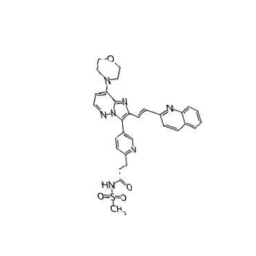 CS(=O)(=O)NC(=O)CCc1ccc(-c2c(/C=C/c3ccc4ccccc4n3)nc3c(N4CCOCC4)ccnn23)cn1